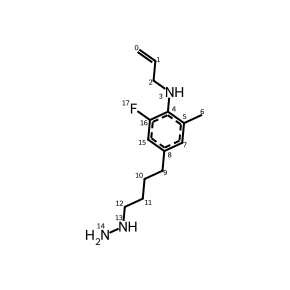 C=CCNc1c(C)cc(CCCCNN)cc1F